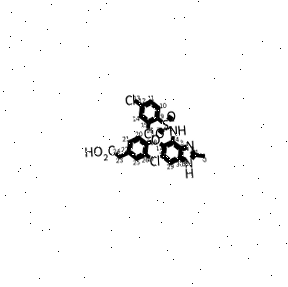 Cc1nc2c(NS(=O)(=O)c3ccc(Cl)cc3Cl)c(Oc3ccc(CC(=O)O)cc3Cl)ccc2[nH]1